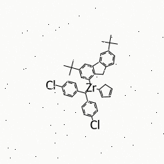 CC(C)(C)c1ccc2c(c1)-c1cc(C(C)(C)C)c[c]([Zr]([C]3=CC=CC3)=[C](c3ccc(Cl)cc3)c3ccc(Cl)cc3)c1C2